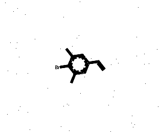 C=Cc1cc(C)c(Br)c(C)c1